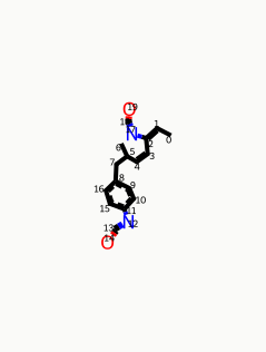 C/C=C(\C=C/C(C)Cc1ccc(N=C=O)cc1)N=C=O